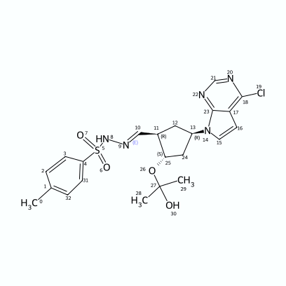 Cc1ccc(S(=O)(=O)N/N=C/[C@H]2C[C@@H](n3ccc4c(Cl)ncnc43)C[C@@H]2OC(C)(C)O)cc1